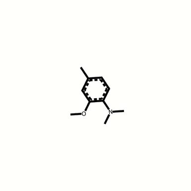 COc1cc(C)ccc1N(C)C